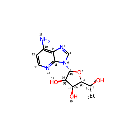 CC[C@@H](O)[C@H]1O[C@@H](n2cnc3c(N)ccnc32)[C@H](O)[C@@H]1O